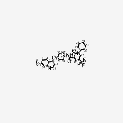 COc1ccc2c(Oc3ccc(NC(=O)c4cc(C(F)(F)F)cn(-c5ccccc5)c4=O)nc3)ccnc2c1